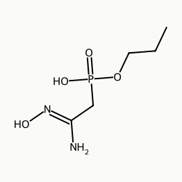 CCCOP(=O)(O)CC(N)=NO